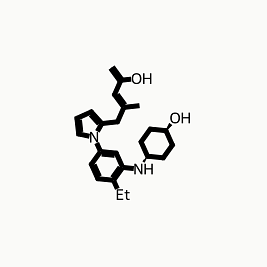 C=C(O)/C=C(\C)Cc1cccn1-c1ccc(CC)c(N[C@H]2CC[C@H](O)CC2)c1